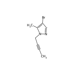 CC#CCn1n[c]c(Br)c1C